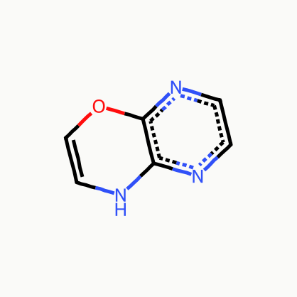 C1=COc2nccnc2N1